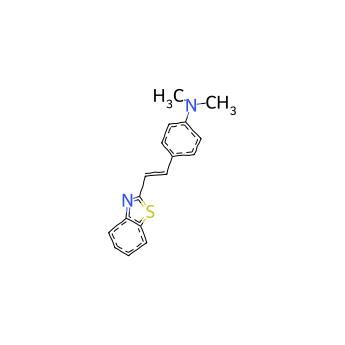 CN(C)c1ccc(C=Cc2nc3ccccc3s2)cc1